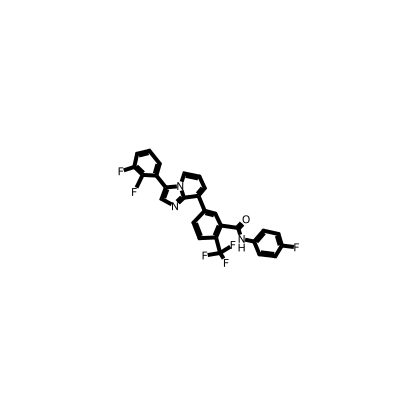 O=C(Nc1ccc(F)cc1)c1cc(-c2cccn3c(-c4cccc(F)c4F)cnc23)ccc1C(F)(F)F